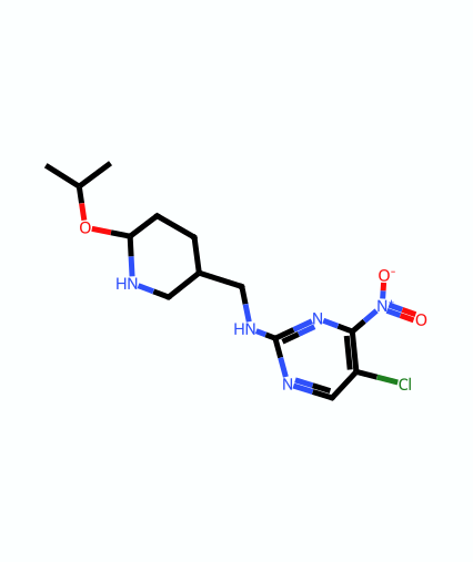 CC(C)OC1CCC(CNc2ncc(Cl)c([N+](=O)[O-])n2)CN1